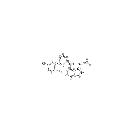 Fc1ccc(Cl)cc1-c1cc(Nc2ccnc3cnn(CC4CC4)c23)ccn1